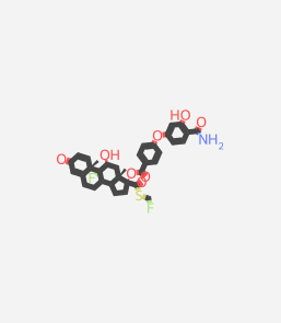 C[C@]12C=CC(=O)C=C1CCC1C3CC[C@](OC(=O)c4ccc(Oc5ccc(C(N)=O)c(O)c5)cc4)(C(=O)SCF)[C@@]3(C)C[C@H](O)C12F